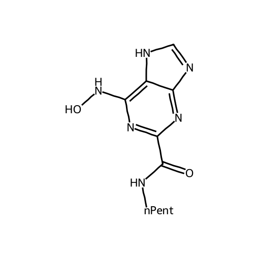 CCCCCNC(=O)c1nc(NO)c2[nH]cnc2n1